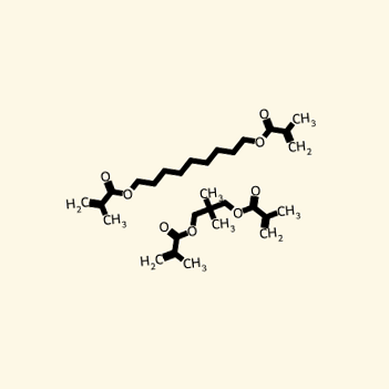 C=C(C)C(=O)OCC(C)(C)COC(=O)C(=C)C.C=C(C)C(=O)OCCCCCCCCCOC(=O)C(=C)C